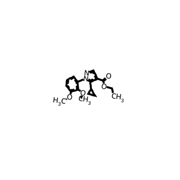 CCOC(=O)c1cnn(-c2cccc(OC)c2OC)c1C1CC1